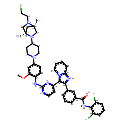 COc1cc(N2CCC(N3C[C@H]4C[C@@H]3CN4CCF)CC2)ccc1Nc1nccc(-c2c(-c3cccc(C(=O)Nc4c(F)cccc4F)c3)nc3ccccn23)n1